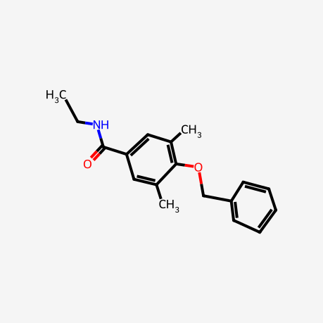 CCNC(=O)c1cc(C)c(OCc2ccccc2)c(C)c1